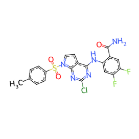 Cc1ccc(S(=O)(=O)n2ccc3c(Nc4cc(F)c(F)cc4C(N)=O)nc(Cl)nc32)cc1